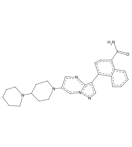 NC(=O)c1ccc(-c2cnn3cc(N4CCC(N5CCCCC5)CC4)cnc23)c2ccccc12